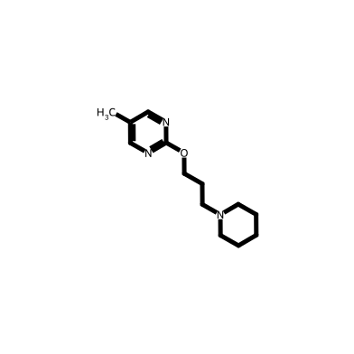 Cc1cnc(OCCCN2CCCCC2)nc1